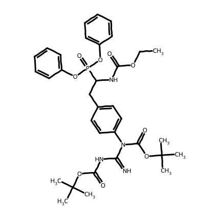 CCOC(=O)NC(Cc1ccc(N(C(=N)NC(=O)OC(C)(C)C)C(=O)OC(C)(C)C)cc1)P(=O)(Oc1ccccc1)Oc1ccccc1